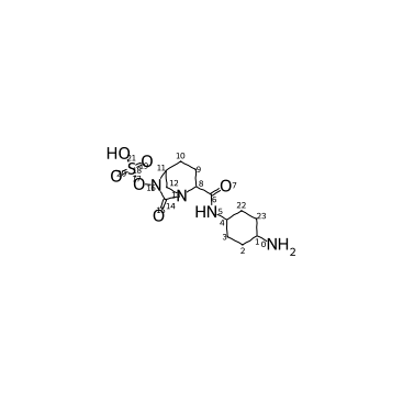 NC1CCC(NC(=O)C2CCC3CN2C(=O)N3OS(=O)(=O)O)CC1